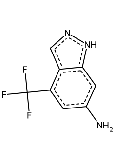 Nc1cc(C(F)(F)F)c2cn[nH]c2c1